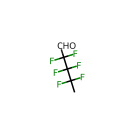 CC(F)(F)C(F)(F)C(F)(F)C=O